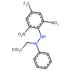 CCOC(=O)CN(Nc1c([N+](=O)[O-])cc(C(F)(F)F)cc1[N+](=O)[O-])c1ccccc1